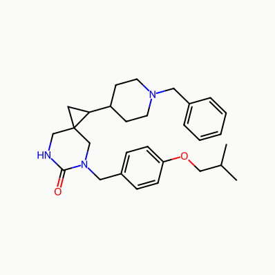 CC(C)COc1ccc(CN2CC3(CNC2=O)CC3C2CCN(Cc3ccccc3)CC2)cc1